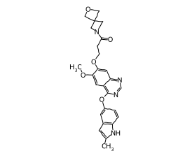 COc1cc2c(Oc3ccc4[nH]c(C)cc4c3)ncnc2cc1OCCC(=O)N1CC2(COC2)C1